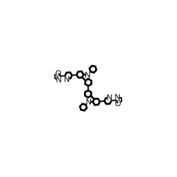 c1ccc(-n2c3ccc(-c4ccc(C5=NCCO5)nc4)cc3c3cc(-c4ccc5c(c4)c4cc(-c6ccc(C7=NCCO7)nc6)ccc4n5-c4ccccc4)ccc32)cc1